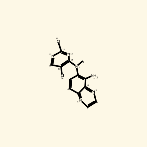 CN(c1ccc2nccnc2c1N)c1nc(Cl)ncc1Cl